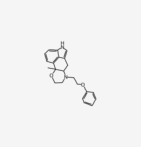 CC12OCCN(CCOc3ccccc3)C1Cc1c[nH]c3cccc2c13